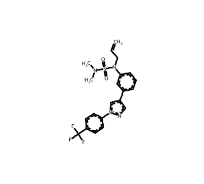 C=CCN(c1cccc(-c2cnn(-c3ccc(C(F)(F)F)cc3)c2)c1)S(=O)(=O)N(C)C